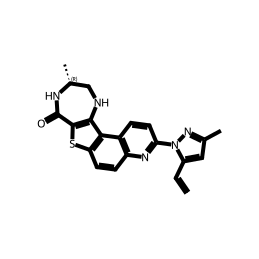 C=Cc1cc(C)nn1-c1ccc2c(ccc3sc4c(c32)NC[C@@H](C)NC4=O)n1